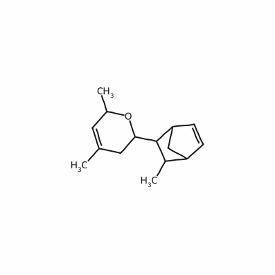 CC1=CC(C)OC(C2C3C=CC(C3)C2C)C1